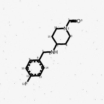 O=CN1CCC(NCc2ccc(F)cc2)CC1